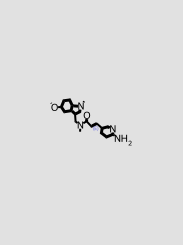 COc1ccc2c(c1)c(CN(C)C(=O)/C=C/c1ccc(N)nc1)cn2C